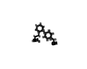 NCCc1ccccc1-c1ccc(CO)cc1